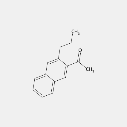 CCCc1cc2ccccc2cc1C(C)=O